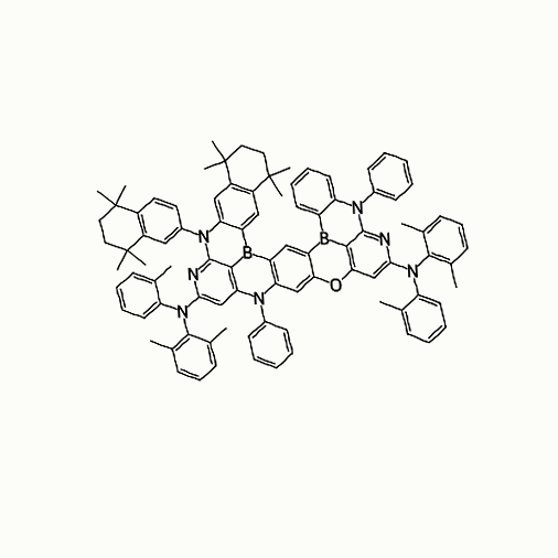 Cc1ccccc1N(c1cc2c3c(n1)N(c1ccccc1)c1ccccc1B3c1cc3c(cc1O2)N(c1ccccc1)c1cc(N(c2ccccc2C)c2c(C)cccc2C)nc2c1B3c1cc3c(cc1N2c1ccc2c(c1)C(C)(C)CCC2(C)C)C(C)(C)CCC3(C)C)c1c(C)cccc1C